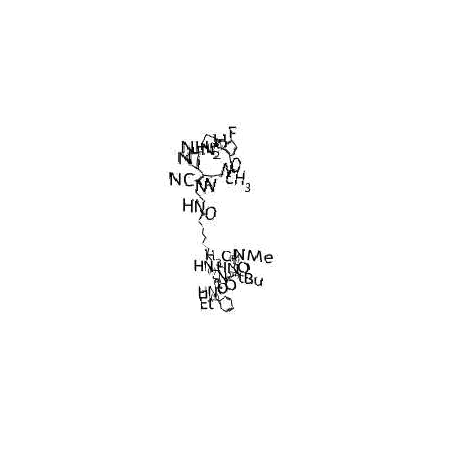 CC[C@H](NC(=O)[C@H]1C[C@@H](NCCCCCCCCC(=O)NCCn2nc3c(c2C#N)-c2cnc(N)c(c2)N2CCC[C@@H]2c2cc(F)ccc2C(=O)N(C)C3)CN1C(=O)[C@H](NC(=O)[C@@H](C)NC)C(C)(C)C)c1ccccc1